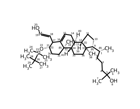 C[C@H](CCCC(C)(C)O)[C@H]1CC[C@H]2[C@@H]3CC=C4C(C=NO)[C@@H](O[Si](C)(C)C(C)(C)C)CC[C@]4(C)[C@H]3CC[C@]12C